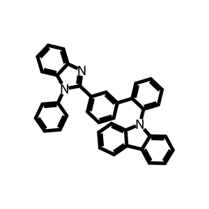 c1ccc(-n2c(-c3cccc(-c4ccccc4-n4c5ccccc5c5ccccc54)c3)nc3ccccc32)cc1